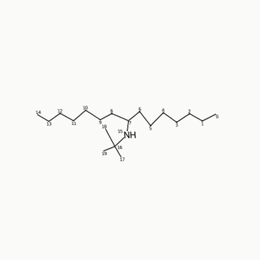 CCCCCCCC(CCCCCCC)NC(C)(C)C